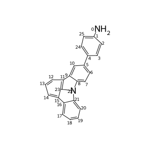 Nc1ccc(-c2ccc3c(c2)c2cccc4c5ccccc5n3c42)cc1